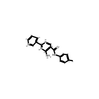 Cc1ccc(NC(=O)c2cnc(-c3cccnc3)nc2N)cc1